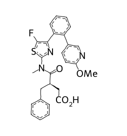 COc1ccc(-c2ccccc2-c2nc(N(C)C(=O)[C@@H](CC(=O)O)Cc3ccccc3)sc2F)cn1